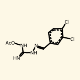 CC(=O)ONC(=N)NN=Cc1ccc(Cl)c(Cl)c1